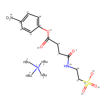 CCCC[N+](CCCC)(CCCC)CCCC.O=C(CCC(=O)Oc1ccc([N+](=O)[O-])cc1)NCCS(=O)(=O)[O-]